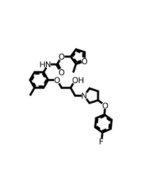 Cc1ccc(NC(=O)Oc2ccoc2C)c(OCC(O)CN2CCC(Oc3ccc(F)cc3)C2)c1